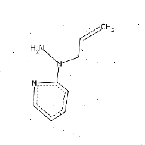 C=CCN(N)c1ccccn1